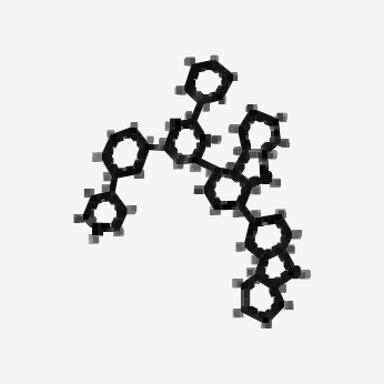 c1ccc(-c2nc(-c3cccc(-c4ccncc4)c3)cc(-c3ccc(-c4ccc5oc6ccccc6c5c4)c4oc5ccccc5c34)n2)cc1